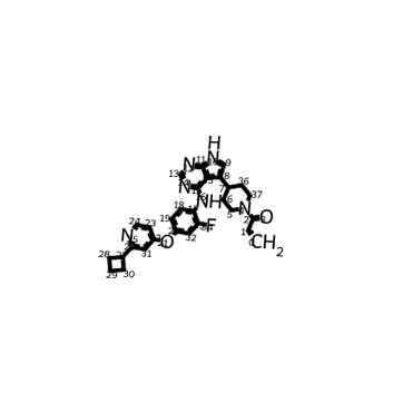 C=CC(=O)N1CCC(c2c[nH]c3ncnc(Nc4ccc(Oc5ccnc(C6CCC6)c5)cc4F)c23)CC1